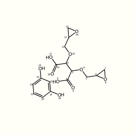 O=C(O)C(OCC1CO1)C(OCC1CO1)C(=O)O.Oc1cccc(O)c1